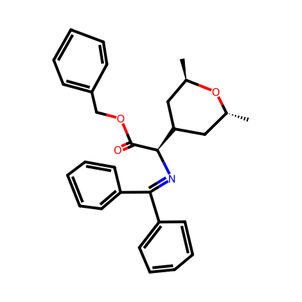 C[C@@H]1CC([C@@H](N=C(c2ccccc2)c2ccccc2)C(=O)OCc2ccccc2)C[C@@H](C)O1